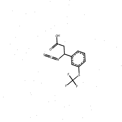 O=C(O)CC(N=C=S)c1cccc(SC(F)(F)F)c1